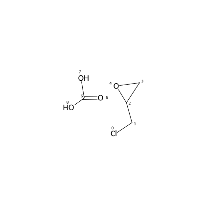 ClCC1CO1.O=C(O)O